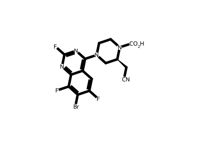 N#CC[C@H]1CN(c2nc(F)nc3c(F)c(Br)c(F)cc23)CCN1C(=O)O